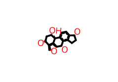 CC12c3ccc4c(c3C(=O)c3occ(c31)C(=O)CC2O)CCC4=O